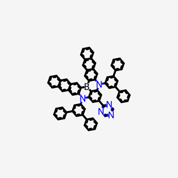 c1ccc(-c2cc(-c3ccccc3)cc(N3c4cc5cc6ccccc6cc5cc4B4c5cc6cc7ccccc7cc6cc5N(c5cc(-c6ccccc6)cc(-c6ccccc6)c5)c5cc(-c6ncncn6)cc3c54)c2)cc1